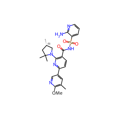 COc1ncc(-c2ccc(C(=O)NS(=O)(=O)c3cccnc3N)c(N3C[C@@H](C)CC3(C)C)n2)cc1C